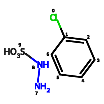 Clc1ccccc1.NNS(=O)(=O)O